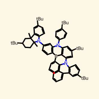 CC(C)(C)c1ccc(N2c3cc(N4c5ccc(C(C)(C)C)cc5C5(C)CC(C(C)(C)C)CCC45C)ccc3B3c4ccccc4N(c4ccc(C(C)(C)C)cc4-c4ccccc4)c4cc(C(C)(C)C)cc2c43)cc1